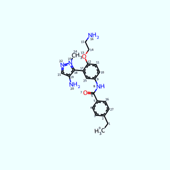 CCc1ccc(C(=O)Nc2ccc(OCCN)c(-c3c(N)cnn3C)c2)cc1